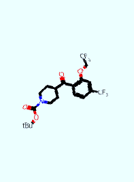 CC(C)(C)OC(=O)N1CCC(C(=O)c2ccc(C(F)(F)F)cc2OCC(F)(F)F)CC1